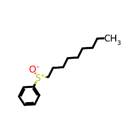 CCCCCCCCC[S+]([O-])c1ccccc1